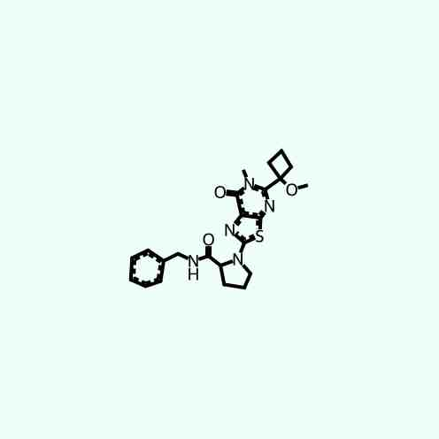 COC1(c2nc3sc(N4CCCC4C(=O)NCc4ccccc4)nc3c(=O)n2C)CCC1